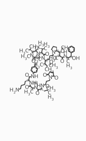 CC[C@H](C)[C@@H]([C@@H](CC(=O)N1CCC[C@H]1[C@H](OC)[C@@H](C)C(=O)N[C@H](C)[C@@H](O)c1ccccc1)OC)N(C)C(=O)[C@@H](NC(=O)[C@H](C(C)C)N(C)C(=O)OCc1ccc(NC(=O)[C@H](CCCCN)NC(=O)[C@H](C)NC(=O)[C@@H](CC(C)C)NC(=O)CCN2C(=O)C=CC2=O)cc1)C(C)C